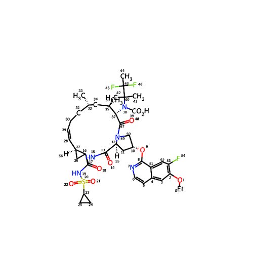 CCOc1cc2ccnc(O[C@@H]3C[C@H]4C(=O)N[C@]5(C(=O)NS(=O)(=O)C6CC6)C[C@H]5/C=C\CC[C@H](C)C[C@@H](C)[C@H](N(C(=O)O)C(C)(C)C(C)(F)F)C(=O)N4C3)c2cc1F